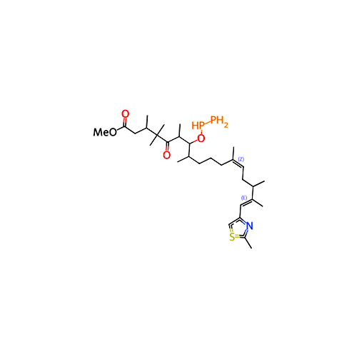 COC(=O)CC(C)C(C)(C)C(=O)C(C)C(OPP)C(C)CCC/C(C)=C\CC(C)/C(C)=C/c1csc(C)n1